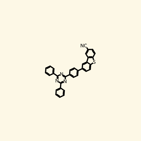 N#Cc1ccc2sc3ccc(-c4ccc(-c5nc(-c6ccccc6)nc(-c6ccccc6)n5)cc4)cc3c2c1